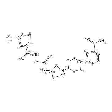 NC(=O)c1cccc(N2CCC(N3CC[C@@H](NC(=O)CNC(=O)c4cccc(C(F)(F)F)c4)C3)CC2)c1